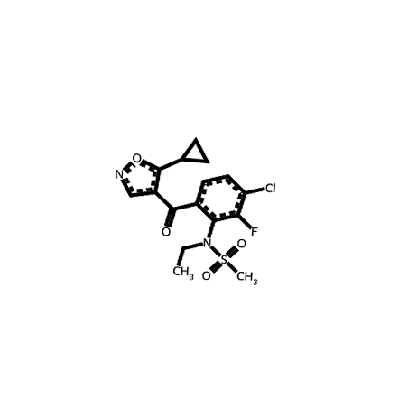 CCN(c1c(C(=O)c2cnoc2C2CC2)ccc(Cl)c1F)S(C)(=O)=O